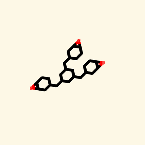 C1CC2OC2CC1CC1CC(CC2CCC3OC3C2)CC(CC2CCC3OC3C2)C1